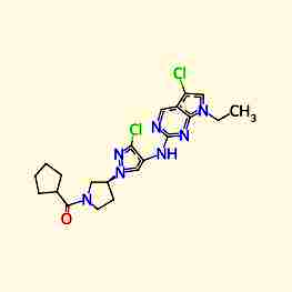 CCn1cc(Cl)c2cnc(Nc3cn([C@H]4CCN(C(=O)C5CCCC5)C4)nc3Cl)nc21